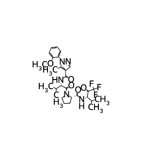 COc1ccccc1-n1ncc(C(=O)N[C@H](C(=O)N2CCC[C@H]2C(=O)N[C@H](C(=O)C(F)(F)F)C(C)C)C(C)C)c1C